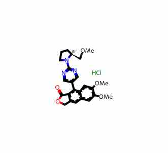 COC[C@@H]1CCCN1c1ncc(-c2c3c(cc4cc(OC)c(OC)cc24)COC3=O)cn1.Cl